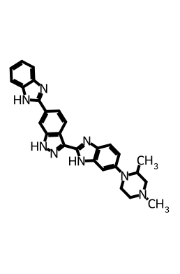 CC1CN(C)CCN1c1ccc2nc(-c3n[nH]c4cc(-c5nc6ccccc6[nH]5)ccc34)[nH]c2c1